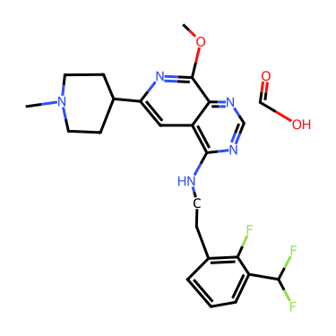 COc1nc(C2CCN(C)CC2)cc2c(NCCc3cccc(C(F)F)c3F)ncnc12.O=CO